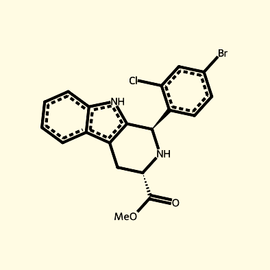 COC(=O)[C@@H]1Cc2c([nH]c3ccccc23)[C@@H](c2ccc(Br)cc2Cl)N1